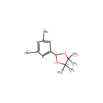 CCCCc1cc(CCCC)cc(B2OC(C)(C)C(C)(C)O2)c1